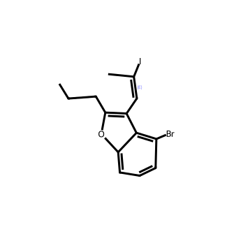 CCCc1oc2cccc(Br)c2c1/C=C(\C)I